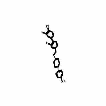 CCCCc1ccc([C@H]2CC[C@H](CCc3ccc(-c4ccc(Cl)c(F)c4)c(F)c3)CC2)cc1